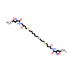 Cc1cc(C(=O)NCC(=O)CCSCCCCCCCCCCSCCC(=O)CNC(=O)c2cc(C)on2)no1